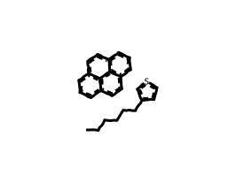 CCCCCCc1ccsc1.c1cc2ccc3cccc4ccc(c1)c2c34